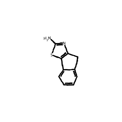 Nc1nc2c(s1)-c1ccccc1C2